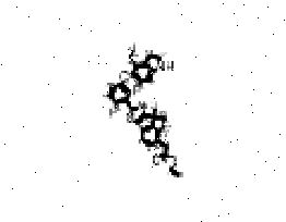 CCOC(=O)Cc1cccc2c1OCC2(C)c1coc(-c2cc(Oc3c(F)cc4[nH]ccc4c3SC)ccc2F)n1